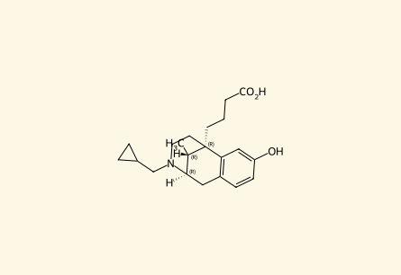 C[C@H]1[C@H]2Cc3ccc(O)cc3[C@]1(CCCC(=O)O)CCN2CC1CC1